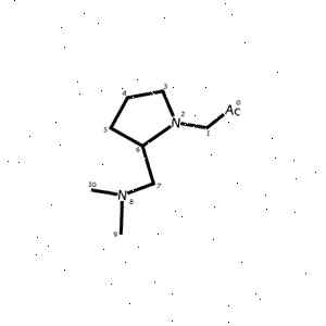 CC(=O)CN1CCCC1CN(C)C